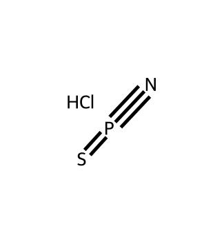 Cl.N#P=S